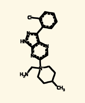 CC1CC[N+](CN)(c2cnc3c(-c4ccccc4Cl)n[nH]c3n2)CC1